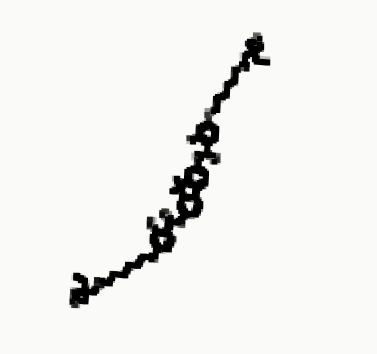 CCC1(COCCCCCCOc2ccc(C(=O)Oc3ccc4c(c3)C(C)(C)c3cc(OC(=O)c5ccc(OCCCCCCOCC6(CC)COC6)cc5F)ccc3-4)c(F)c2)COC1